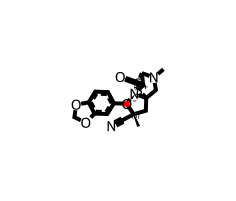 CN1CC23C[C@](C)(C#N)C(c4ccc5c(c4)OCO5)N2C(=O)C1S[S@@+]3[O-]